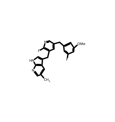 COc1cc(F)cc(Cc2[c]nc(F)c(Cc3c[nH]c4ncc(C)cc34)c2)c1